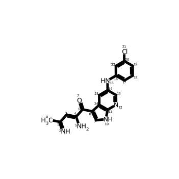 CC(=N)/C=C(\N)C(=O)c1c[nH]c2ncc(Nc3cccc(Cl)c3)cc12